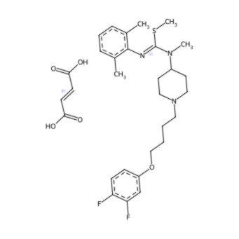 CS/C(=N\c1c(C)cccc1C)N(C)C1CCN(CCCCOc2ccc(F)c(F)c2)CC1.O=C(O)/C=C/C(=O)O